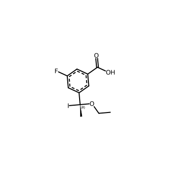 CCO[C@](C)(I)c1cc(F)cc(C(=O)O)c1